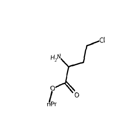 CCCOC(=O)C(N)CCCl